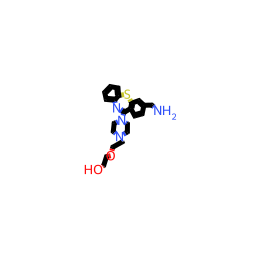 NCc1ccc2c(c1)Sc1ccccc1N=C2N1CCN(CCOCCO)CC1